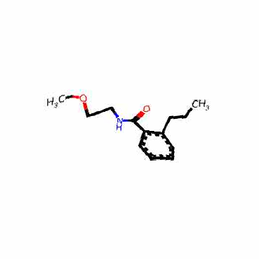 CCCc1ccccc1C(=O)NCCOC